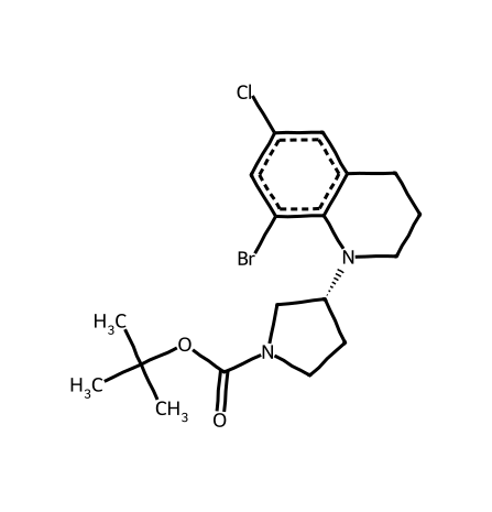 CC(C)(C)OC(=O)N1CC[C@@H](N2CCCc3cc(Cl)cc(Br)c32)C1